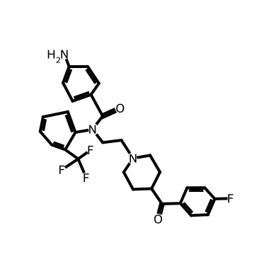 Nc1ccc(C(=O)N(CCN2CCC(C(=O)c3ccc(F)cc3)CC2)c2ccccc2C(F)(F)F)cc1